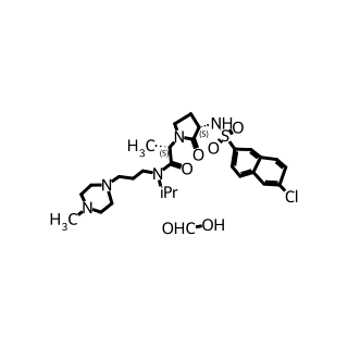 CC(C)N(CCCN1CCN(C)CC1)C(=O)[C@H](C)N1CC[C@H](NS(=O)(=O)c2ccc3cc(Cl)ccc3c2)C1=O.O=CO